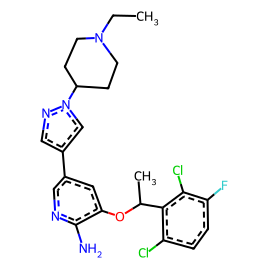 CCN1CCC(n2cc(-c3cnc(N)c(OC(C)c4c(Cl)ccc(F)c4Cl)c3)cn2)CC1